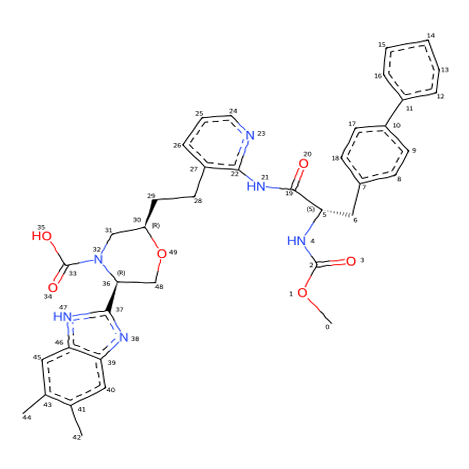 COC(=O)N[C@@H](Cc1ccc(-c2ccccc2)cc1)C(=O)Nc1ncccc1CC[C@@H]1CN(C(=O)O)[C@H](c2nc3cc(C)c(C)cc3[nH]2)CO1